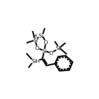 C[SiH2]O[Si](O[Si](C)(C)C)(O[Si](C)(C)C)C(=Cc1ccccc1)[SiH](C)C